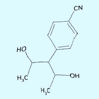 CC(O)C(c1ccc(C#N)cc1)C(C)O